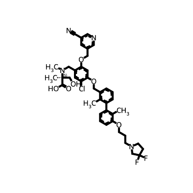 Cc1c(COc2cc(OCc3cncc(C#N)c3)c(CN(C)[C@@](C)(CO)C(=O)O)cc2Cl)cccc1-c1cccc(OCCCN2CCC(F)(F)C2)c1C